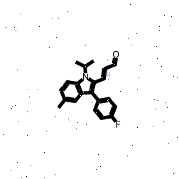 Cc1ccc2c(c1)c(-c1ccc(F)cc1)c(/C=C/C=O)n2C(C)C